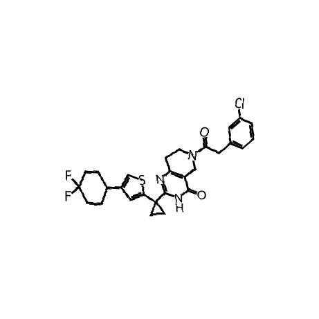 O=C(Cc1cccc(Cl)c1)N1CCc2nc(C3(c4cc(C5CCC(F)(F)CC5)cs4)CC3)[nH]c(=O)c2C1